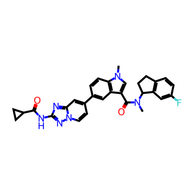 CN(C(=O)c1cn(C)c2ccc(-c3ccn4nc(NC(=O)C5CC5)nc4c3)cc12)C1CCc2ccc(F)cc21